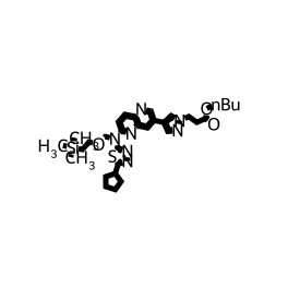 CCCCOC(=O)CCn1cc(-c2cnc3ccc(N(COCC[Si](C)(C)C)c4nnc(C5CCCC5)s4)nc3c2)cn1